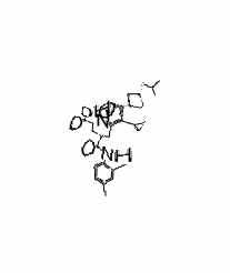 Cc1ccc(NC(=O)[C@@H](CCC(=O)O)Cc2noc([C@H]3C[C@@H](CC(C)C)C3)c2C2CC2)c(C)c1